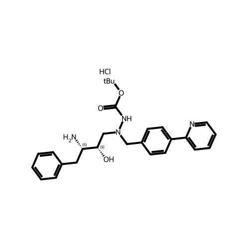 CC(C)(C)OC(=O)NN(Cc1ccc(-c2ccccn2)cc1)C[C@H](O)[C@@H](N)Cc1ccccc1.Cl